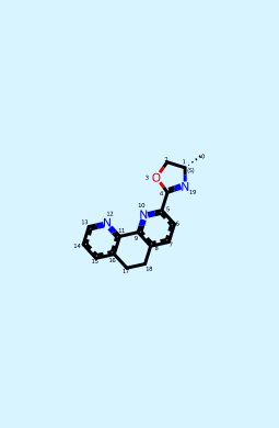 C[C@H]1COC(c2ccc3c(n2)-c2ncccc2CC3)=N1